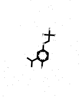 CC(C)c1cc(SCC(F)(F)F)ccc1F